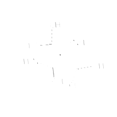 CC(C)C(N)(C(C)C)C(C)N